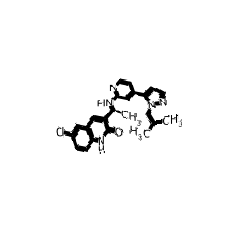 CC(C)Cn1nccc1-c1ccnc(N[C@@H](C)c2cc3cc(Cl)ccc3[nH]c2=O)c1